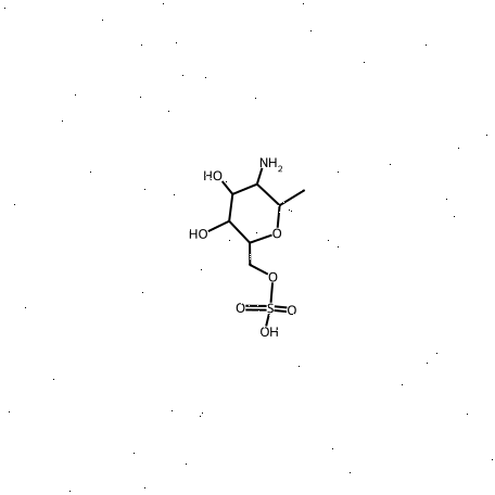 CC1OC(COS(=O)(=O)O)C(O)C(O)C1N